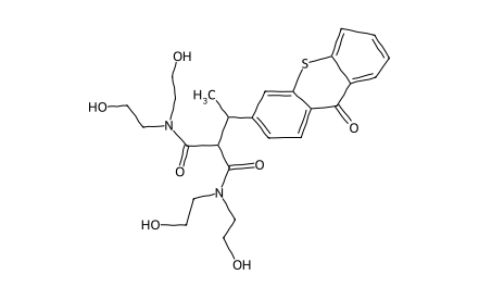 CC(c1ccc2c(=O)c3ccccc3sc2c1)C(C(=O)N(CCO)CCO)C(=O)N(CCO)CCO